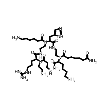 N=C(N)NCCCC(C(=O)NCCN(C(=O)CCCCCN)C(Cc1cnc[nH]1)C(=O)NCCN(C(=O)CCCCCC(N)=O)C(CCCCN)C(N)=O)N(CCN)C(=O)CCS